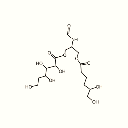 O=CNC(COC(=O)CCCC(O)CO)COC(=O)C(O)C(O)C(O)CCO